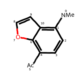 CNc1ccc(C(C)=O)c2occc12